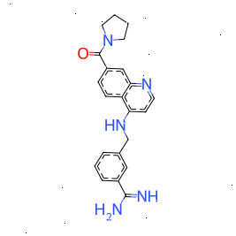 N=C(N)c1cccc(CNc2ccnc3cc(C(=O)N4CCCC4)ccc23)c1